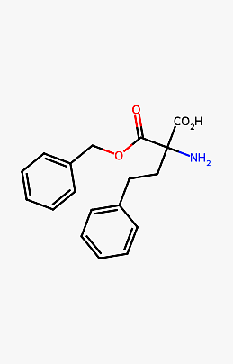 NC(CCc1ccccc1)(C(=O)O)C(=O)OCc1ccccc1